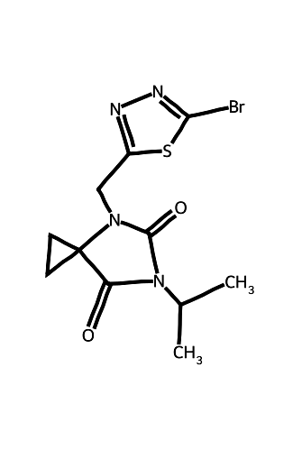 CC(C)N1C(=O)N(Cc2nnc(Br)s2)C2(CC2)C1=O